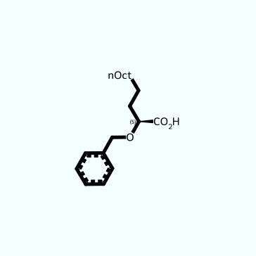 CCCCCCCCCC[C@H](OCc1ccccc1)C(=O)O